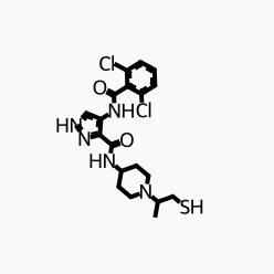 CC(CS)N1CCC(NC(=O)c2n[nH]cc2NC(=O)c2c(Cl)cccc2Cl)CC1